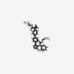 CCOC(=O)N(c1c(C)noc1-c1ccc(-c2ccc(C3(C(=O)OCC)CC3)cc2)cc1)C1CCCCC1